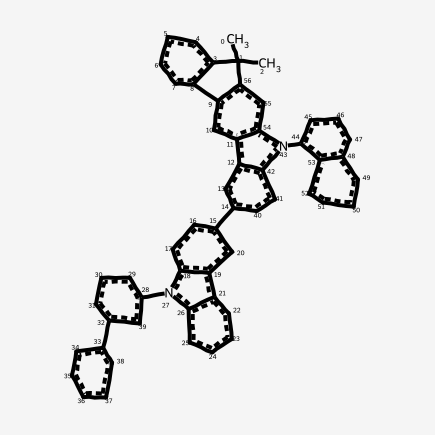 CC1(C)c2ccccc2-c2cc3c4cc(-c5ccc6c(c5)c5ccccc5n6-c5cccc(-c6ccccc6)c5)ccc4n(-c4cccc5ccccc45)c3cc21